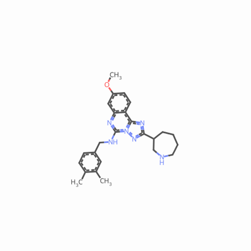 COc1ccc2c(c1)nc(NCc1ccc(C)c(C)c1)n1nc(C3CCCCNC3)nc21